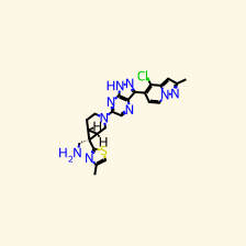 Cc1csc([C@@]2(CN)[C@@H]3CCN(c4cnc5c(-c6ccn7nc(C)cc7c6Cl)n[nH]c5n4)C[C@@H]32)n1